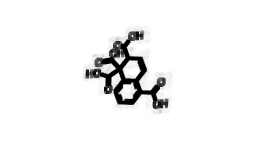 O=C(O)c1cccc2c1C=CC(C(=O)O)C2(C(=O)O)C(=O)O